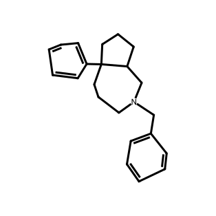 c1ccc(CN2CCCC3(c4ccccc4)CCCC3C2)cc1